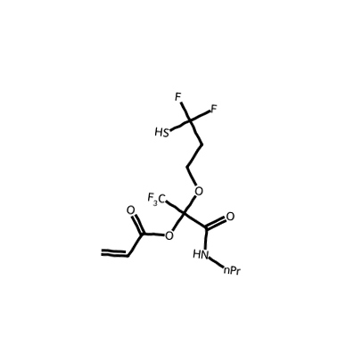 C=CC(=O)OC(OCCC(F)(F)S)(C(=O)NCCC)C(F)(F)F